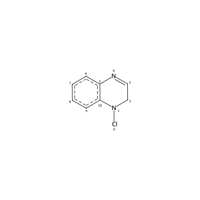 ClN1CC=Nc2ccccc21